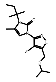 CCC(C)(C)n1c(C)cn(-c2noc(COC(C)C)c2Br)c1=O